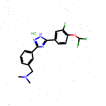 CN(C)Cc1cccc(-c2n[nH]c(-c3ccc(OC(F)F)c(F)c3)n2)c1.Cl